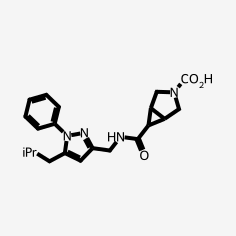 CC(C)Cc1cc(CNC(=O)C2C3CN(C(=O)O)CC32)nn1-c1ccccc1